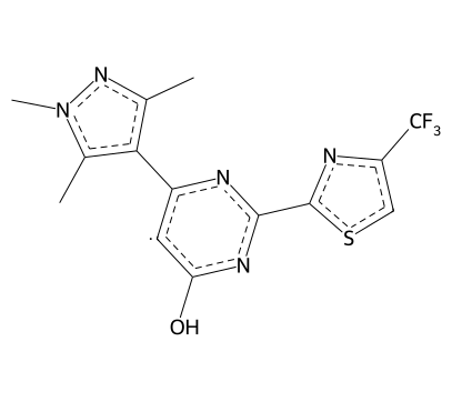 Cc1nn(C)c(C)c1-c1[c]c(O)nc(-c2nc(C(F)(F)F)cs2)n1